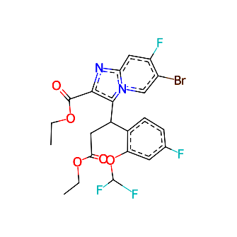 CCOC(=O)CC(c1ccc(F)cc1OC(F)F)c1c(C(=O)OCC)nc2cc(F)c(Br)cn12